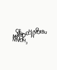 Cc1nc2ncnn2c(NCC(F)(F)F)c1-c1c(F)cc(OCC2[C@H]3CN(C(=O)OC(C)(C)C)C[C@@H]23)cc1F